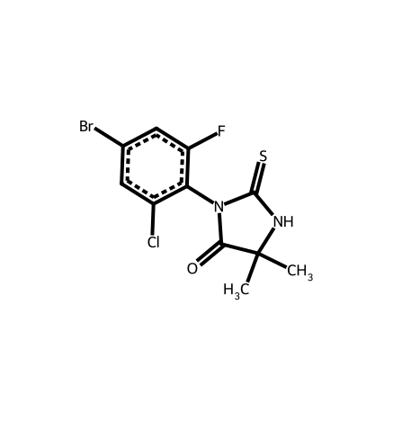 CC1(C)NC(=S)N(c2c(F)cc(Br)cc2Cl)C1=O